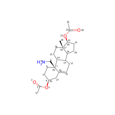 CC(=O)O[C@H]1CC[C@@]2(CN)C(=CCC3C2CC[C@@]2(C)C3CC[C@@H]2OC(C)=O)C1